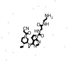 C=C[C@@H]1CCN(C(=O)CC#N)C[C@@H]1N(C)c1ncnc2c1ccn2C(=O)NCC(=O)NCCN